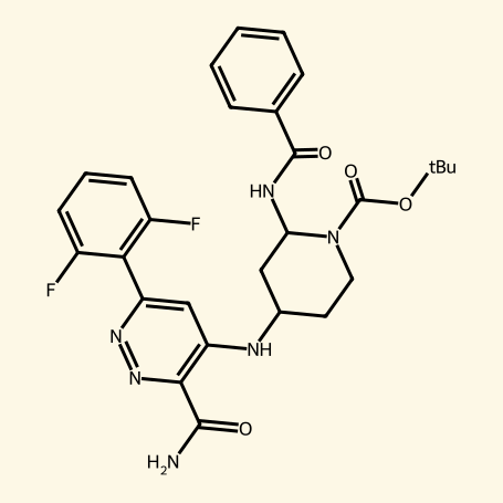 CC(C)(C)OC(=O)N1CCC(Nc2cc(-c3c(F)cccc3F)nnc2C(N)=O)CC1NC(=O)c1ccccc1